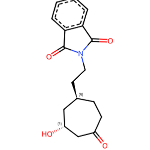 O=C1CC[C@H](CCN2C(=O)c3ccccc3C2=O)C[C@@H](O)C1